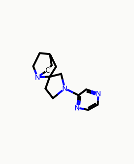 c1cnc(N2CCC3(CC4CCN3CC4)C2)cn1